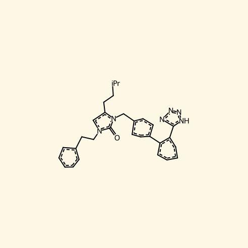 CC(C)CCc1cn(CCc2ccccc2)c(=O)n1Cc1ccc(-c2ccccc2-c2nnn[nH]2)cc1